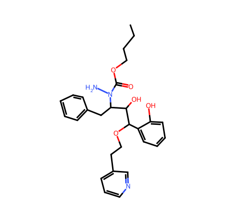 CCCCOC(=O)N(N)C(Cc1ccccc1)C(O)C(OCCc1cccnc1)c1ccccc1O